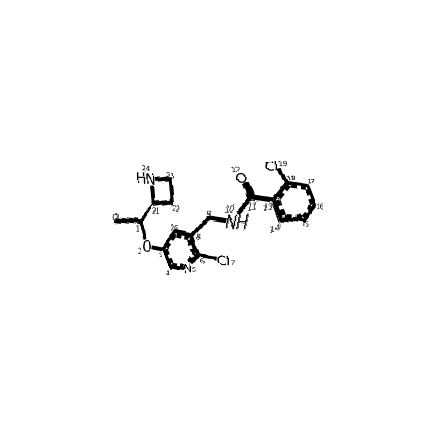 CC(Oc1cnc(Cl)c(CNC(=O)c2ccccc2Cl)c1)[C@@H]1CCN1